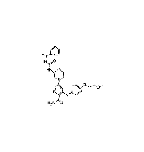 COCCOc1ccc(Nc2nc(N3CCCC(NC(=O)N[C@@H](C)c4ccccc4)C3)cnc2C(N)=O)cc1